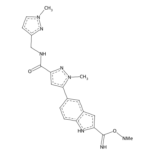 CNOC(=N)c1cc2cc(-c3cc(C(=O)NCc4ccn(C)n4)nn3C)ccc2[nH]1